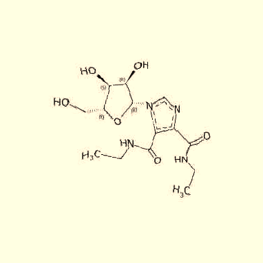 CCNC(=O)c1ncn([C@@H]2O[C@H](CO)[C@@H](O)[C@H]2O)c1C(=O)NCC